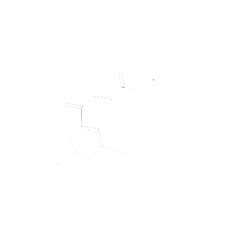 Cc1cc(C)cc(C(=O)[C@H](C)NC(=O)OC(C)(C)C)c1